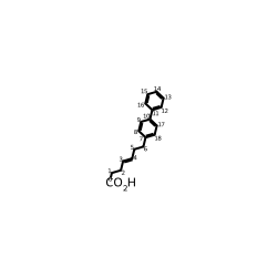 O=C(O)CCC=CCCc1ccc(-c2ccccc2)cc1